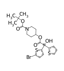 CC(C)(C)OC(=O)N1CCC(OC(=O)[C@@](O)(c2cccs2)c2ccc(Br)s2)CC1